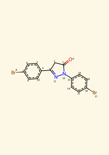 O=C1CC(c2ccc(Br)cc2)=NN1c1ccc(Br)cc1